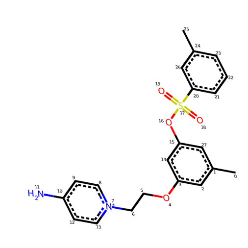 Cc1cc(OCC[n+]2ccc(N)cc2)cc(OS(=O)(=O)c2cccc(C)c2)c1